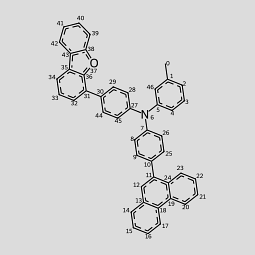 Cc1cccc(N(c2ccc(-c3cc4ccccc4c4ccccc34)cc2)c2ccc(-c3cccc4c3oc3ccccc34)cc2)c1